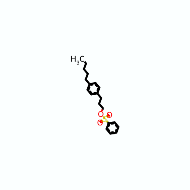 CCCCCc1ccc(CCCOS(=O)(=O)c2ccccc2)cc1